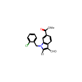 CCc1c(C=O)c2ccc(C(=O)OC)cc2n1Cc1ccccc1Cl